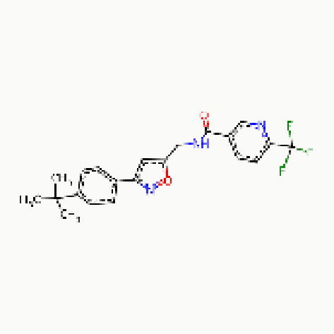 CC(C)(C)c1ccc(-c2cc(CNC(=O)c3ccc(C(F)(F)F)nc3)on2)cc1